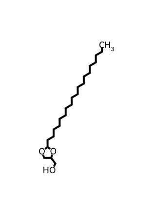 CCCCCCCCCCCCCCCCCCCC1OCC(CO)O1